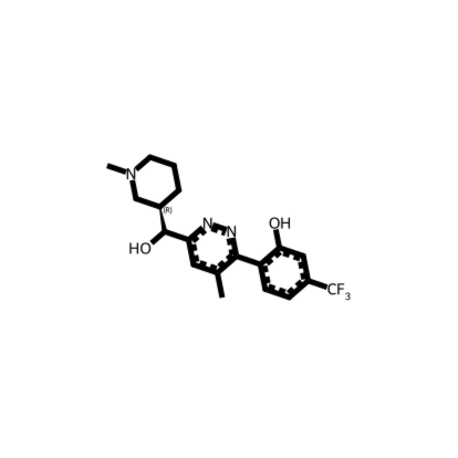 Cc1cc(C(O)[C@@H]2CCCN(C)C2)nnc1-c1ccc(C(F)(F)F)cc1O